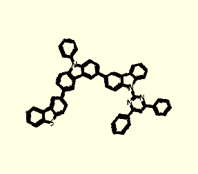 c1ccc(-c2cc(-c3ccccc3)nc(-n3c4ccccc4c4cc(-c5ccc6c(c5)c5cc(-c7ccc8sc9ccccc9c8c7)ccc5n6-c5ccccc5)ccc43)n2)cc1